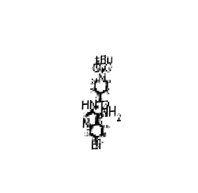 CC(C)(C)OC(=O)N1CCC(C(=O)Nc2cnc3cc(Br)ccc3c2N)CC1